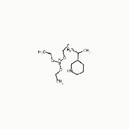 CC(N)C1CCCNC1.CCO[SiH](OCC)OCC